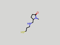 CN1C(=O)CCC1CNCCCS